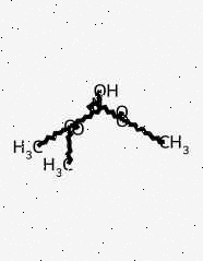 CCCCCCCCCCCOC(=O)CCCCC1CC(CCCCC(=O)OC(CCCCCCCC)CCCCCCCC)CCN1CCO